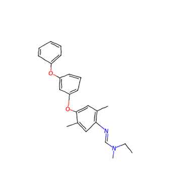 CCN(C)C=Nc1cc(C)c(Oc2cccc(Oc3ccccc3)c2)cc1C